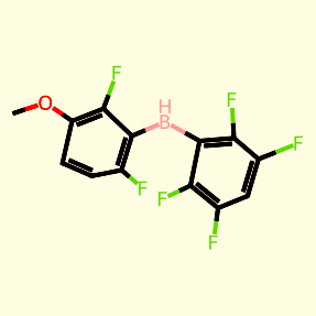 COc1ccc(F)c(Bc2c(F)c(F)cc(F)c2F)c1F